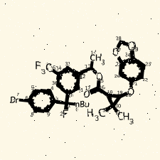 CCCCC(F)(c1ccc(Br)cc1)c1cc(C(C)OC(=O)C2C(Oc3ccc4c(c3)OCO4)C2(C)C)cc(C(F)(F)F)c1